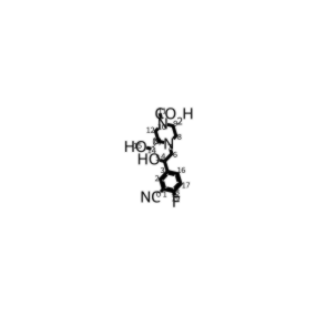 N#Cc1cc(C(O)CN2CCN(C(=O)O)C[C@H]2CO)ccc1F